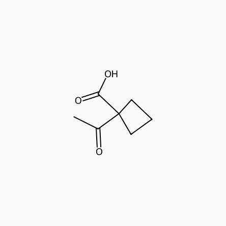 CC(=O)C1(C(=O)O)CCC1